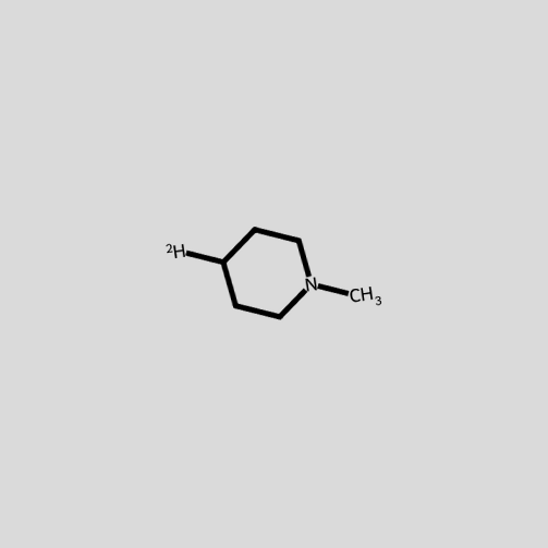 [2H]C1CCN(C)CC1